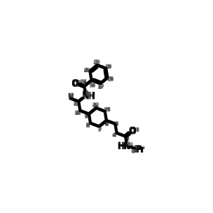 CC(C)NC(=O)CCC1CCC(CC(C)NC(=O)c2ccccc2)CC1